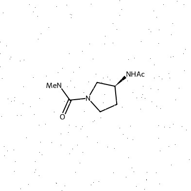 CNC(=O)N1CC[C@H](NC(C)=O)C1